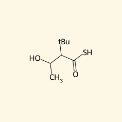 CC(O)C(C(=O)S)C(C)(C)C